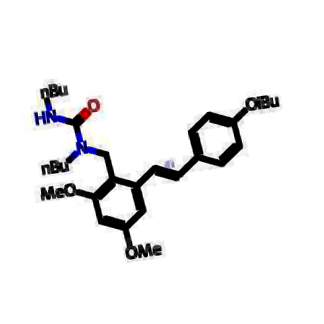 CCCCNC(=O)N(CCCC)Cc1c(/C=C/c2ccc(OCC(C)C)cc2)cc(OC)cc1OC